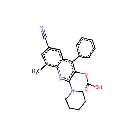 Cc1cc(C#N)cc2c(-c3ccccc3)c(OC(=O)O)c(N3CCCCC3)nc12